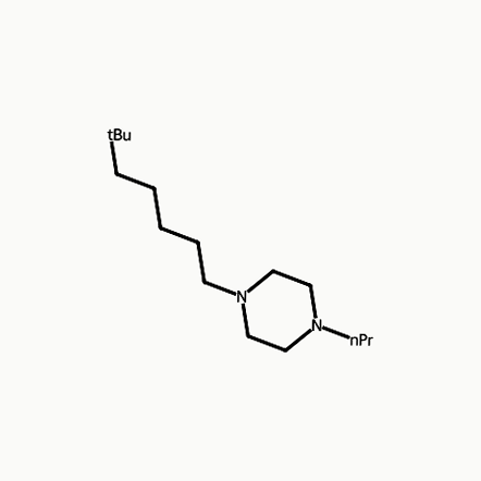 CCCN1CCN(CCCCCC(C)(C)C)CC1